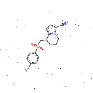 Cc1ccc(S(=O)(=O)CC2CCCn3c(C#N)ccc32)cc1